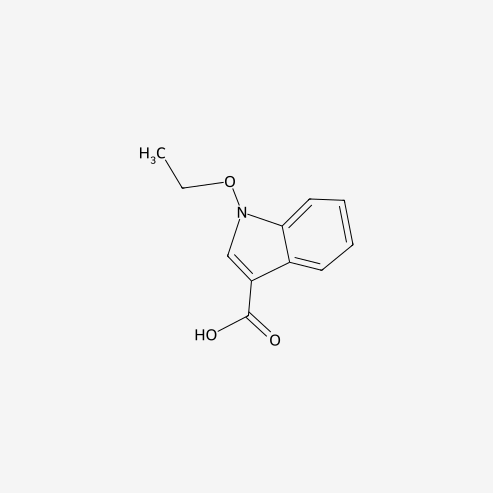 CCOn1cc(C(=O)O)c2ccccc21